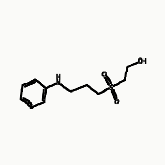 O=S(=O)(CCO)CCCNc1ccccc1